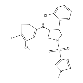 Cn1cnc(S(=O)(=O)N2CC(Nc3ccc(F)c(C(F)(F)F)c3)C(c3ccccc3Cl)C2)c1